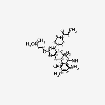 C=CC(=O)N1CCN(c2nc(OCCN(C)C)nc3c2C[C@@H](C)C(c2c(Cl)c(C)cc(N)c2C=N)C3)CC1